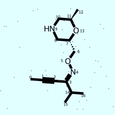 CC#C/C(=N\OC[C@@H]1CNC[C@@H](C)O1)C(C)C